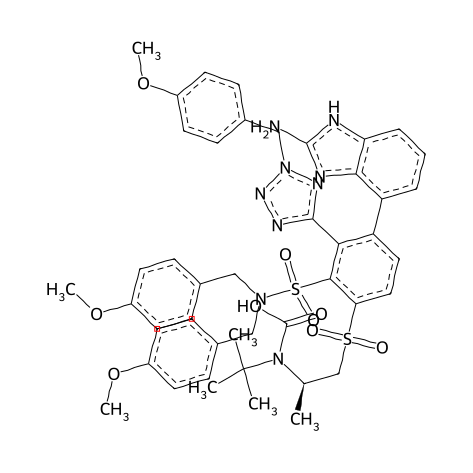 COc1ccc(CN(Cc2ccc(OC)cc2)S(=O)(=O)c2c(S(=O)(=O)C[C@@H](C)N(C(=O)O)C(C)(C)C)ccc(-c3cccc4[nH]c(N)nc34)c2-c2nnn(Cc3ccc(OC)cc3)n2)cc1